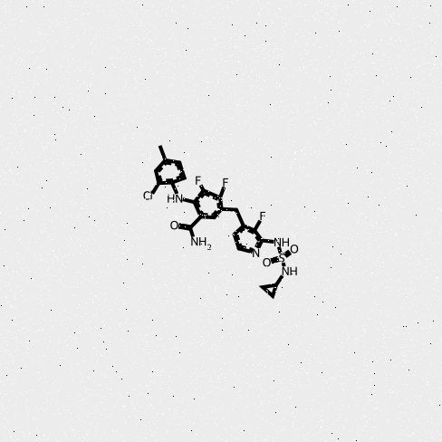 Cc1ccc(Nc2c(C(N)=O)cc(Cc3ccnc(NS(=O)(=O)NC4CC4)c3F)c(F)c2F)c(Cl)c1